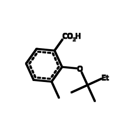 CCC(C)(C)Oc1c(C)cccc1C(=O)O